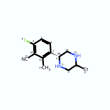 CCC1CN[C@H](c2ccc(F)c(C#N)c2C)CN1